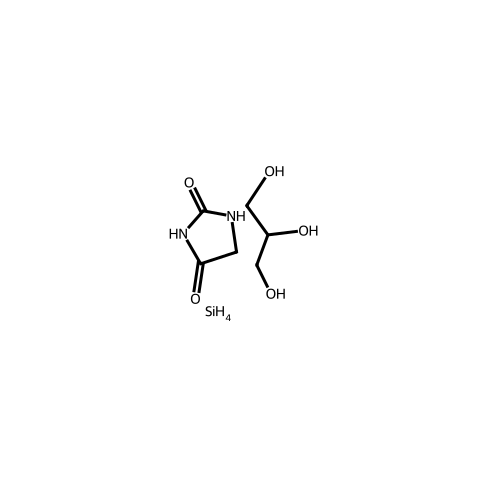 O=C1CNC(=O)N1.OCC(O)CO.[SiH4]